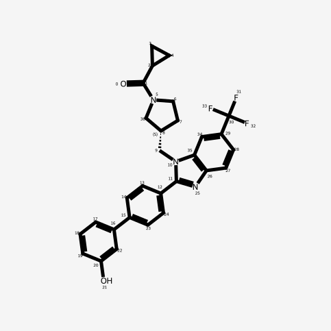 O=C(C1CC1)N1CC[C@H](Cn2c(-c3ccc(-c4cccc(O)c4)cc3)nc3ccc(C(F)(F)F)cc32)C1